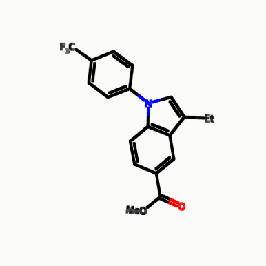 CCc1cn(-c2ccc(C(F)(F)F)cc2)c2ccc(C(=O)OC)cc12